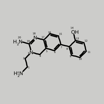 NCCN1Cc2cc(-c3ccccc3O)ccc2N=C1N